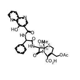 CO[C@@]1(NC(=O)C(NC(=O)c2cnc3cccnc3c2O)c2ccccc2)C(=O)N2C(C(=O)O)=C(COC(C)=O)CS[C@H]21